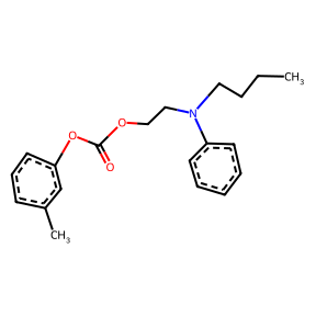 CCCCN(CCOC(=O)Oc1cccc(C)c1)c1ccccc1